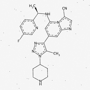 Cc1c(-c2cc(N[C@H](C)c3ccc(F)cn3)n3c(C#N)cnc3c2)nnn1C1CCNCC1